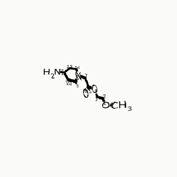 COCCOC(=O)CN1CCC(N)CC1